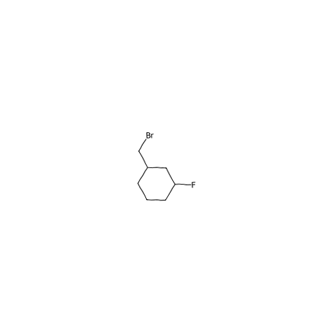 FC1CCCC(CBr)C1